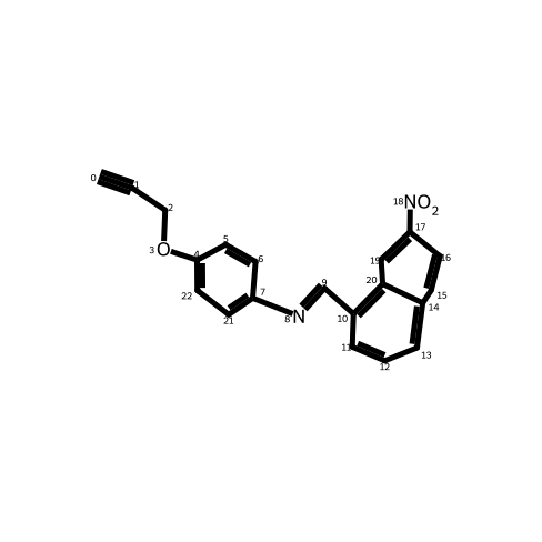 C#CCOc1ccc(/N=C/c2cccc3ccc([N+](=O)[O-])cc23)cc1